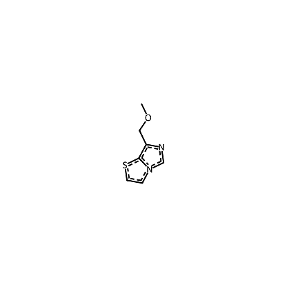 COCc1ncn2ccsc12